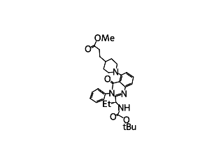 CC[C@H](NC(=O)OC(C)(C)C)c1nc2cccc(N3CCC(CCC(=O)OC)CC3)c2c(=O)n1-c1ccccc1